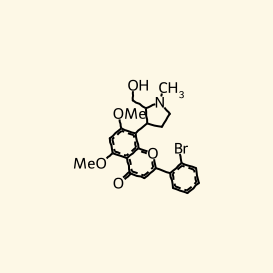 COc1cc(OC)c2c(=O)cc(-c3ccccc3Br)oc2c1C1CCN(C)C1CO